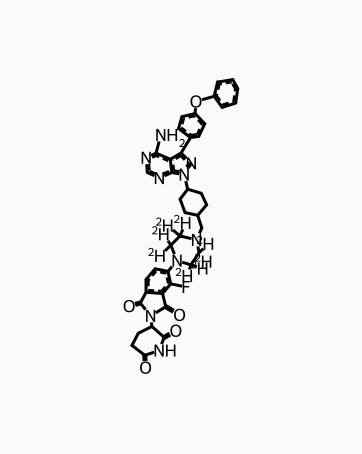 [2H]C1([2H])N(CC2CCC(n3nc(-c4ccc(Oc5ccccc5)cc4)c4c(N)ncnc43)CC2)C([2H])([2H])C([2H])([2H])N(c2ccc3c(c2F)C(=O)N(C2CCC(=O)NC2=O)C3=O)C1([2H])[2H]